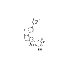 CN1C(=N)NC(c2sc3c(-c4ccc(-c5cnn(C)c5)cc4F)nccc3c2Cl)CS1(=O)=O